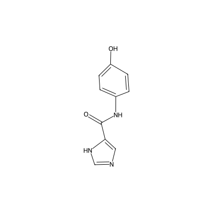 O=C(Nc1ccc(O)cc1)c1cnc[nH]1